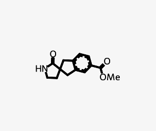 COC(=O)c1ccc2c(c1)CC1(CCNC1=O)C2